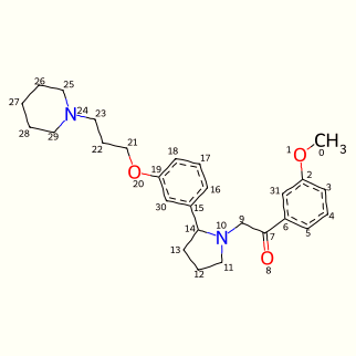 COc1cccc(C(=O)CN2CCCC2c2cccc(OCCCN3CCCCC3)c2)c1